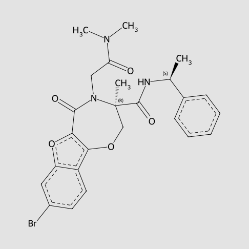 C[C@H](NC(=O)[C@@]1(C)COc2c(oc3cc(Br)ccc23)C(=O)N1CC(=O)N(C)C)c1ccccc1